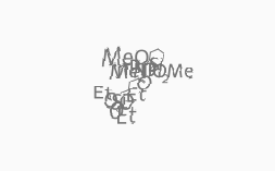 CCCC1(OC)CCCC[Si]1(OC)OC.CCO[Si](CCCC(N)=O)(OCC)OCC